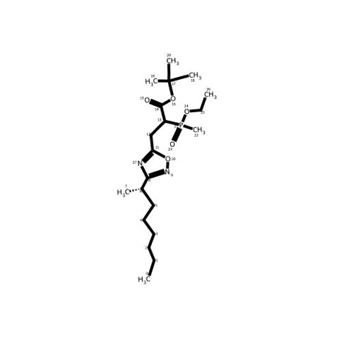 CCCCCC[C@H](C)c1noc(CC(C(=O)OC(C)(C)C)P(C)(=O)OCC)n1